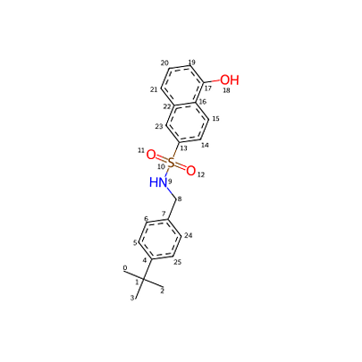 CC(C)(C)c1ccc(CNS(=O)(=O)c2ccc3c(O)cccc3c2)cc1